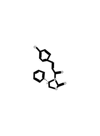 O=C(C=Cc1ccc(Cl)cc1)N1C(=O)OC[C@@H]1c1ccccc1